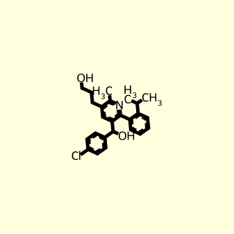 Cc1nc(-c2ccccc2C(C)C)c(C(O)c2ccc(Cl)cc2)cc1CCCO